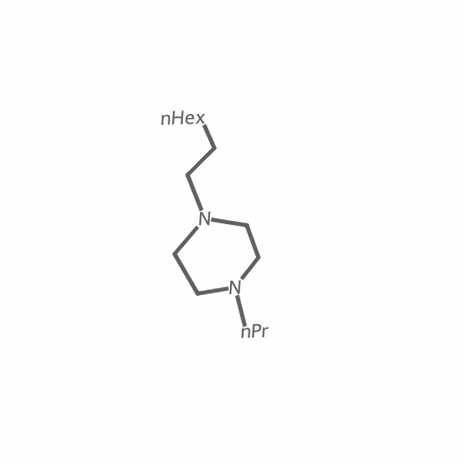 CCCCCCCCN1CCN(CCC)CC1